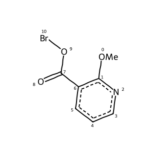 COc1ncccc1C(=O)OBr